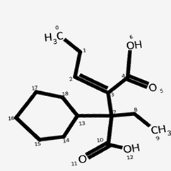 CCC=C(C(=O)O)C(CC)(C(=O)O)C1CCCCC1